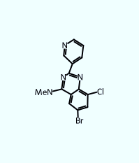 CNc1nc(-c2cccnc2)nc2c(Cl)cc(Br)cc12